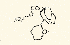 C1CCC(C23CC4CC(CC(C4)C2)C3)OC1.O=C(O)OC(=O)O